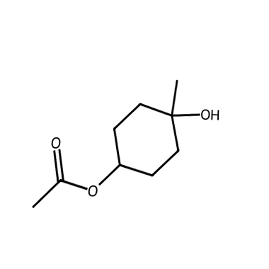 CC(=O)OC1CCC(C)(O)CC1